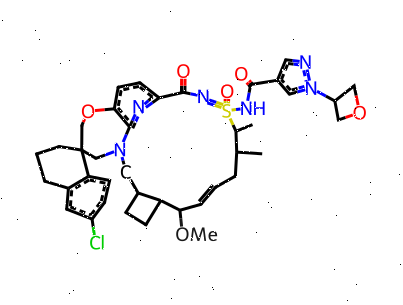 COC1/C=C/CC(C)C(C)S(=O)(NC(=O)c2cnn(C3COC3)c2)=NC(=O)c2ccc3c(n2)N(CC2CCC21)CC1(CCCc2cc(Cl)ccc21)CO3